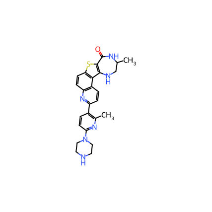 Cc1nc(N2CCNCC2)ccc1-c1ccc2c(ccc3sc4c(c32)NCC(C)NC4=O)n1